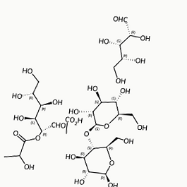 CC(=O)O.CC(O)C(=O)O[C@@H](C=O)[C@@H](O)[C@H](O)[C@H](O)CO.O=C[C@H](O)[C@@H](O)[C@H](O)CO.OC[C@H]1O[C@@H](O[C@H]2[C@H](O)[C@@H](O)[C@H](O)O[C@@H]2CO)[C@H](O)[C@@H](O)[C@@H]1O